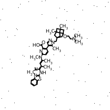 C=N/C(Nc1nc2ccccc2s1)=C(C)\C=C(/C)N(C)c1ccc(-c2cnn(CC34CC5(C)CC6(C)CC(OCCN(C)C)(C3)C56C4)c2C)c(C(=O)O)n1